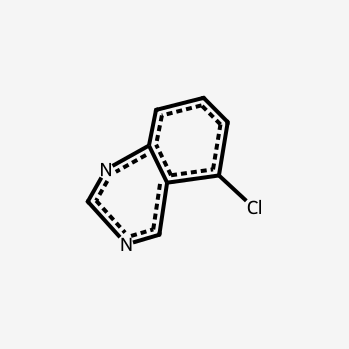 Clc1cccc2ncncc12